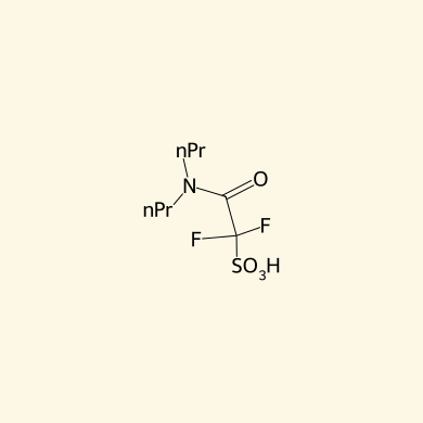 CCCN(CCC)C(=O)C(F)(F)S(=O)(=O)O